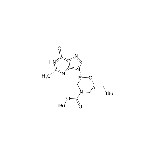 Cc1nc2c(ncn2[C@H]2CN(C(=O)OC(C)(C)C)C[C@@H](CC(C)(C)C)O2)c(=O)[nH]1